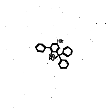 Br.O=[N+]([O-])c1c(-c2ccccc2)cccc1C(P)(c1ccccc1)c1ccccc1